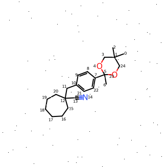 CC1(C)COC(C)(c2ccc(CC3(C#N)CCCCCC3)cc2)OC1